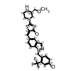 COC[C@H]1CN(C2=NC(=O)C(=Cc3ccc4c(cnn4Cc4ccc(Cl)cc4C(F)(F)F)c3)S2)CCN1